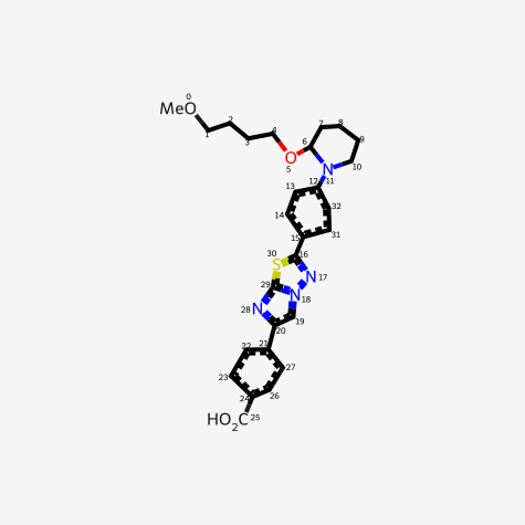 COCCCCOC1CCCCN1c1ccc(-c2nn3cc(-c4ccc(C(=O)O)cc4)nc3s2)cc1